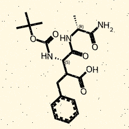 C[C@@H](NC(=O)[C@@H](NC(=O)OC(C)(C)C)C(Cc1ccccc1)C(=O)O)C(N)=O